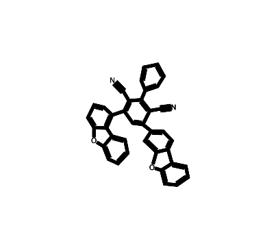 N#Cc1c(-c2ccc3c(c2)oc2ccccc23)cc(-c2cccc3oc4ccccc4c23)c(C#N)c1-c1ccccc1